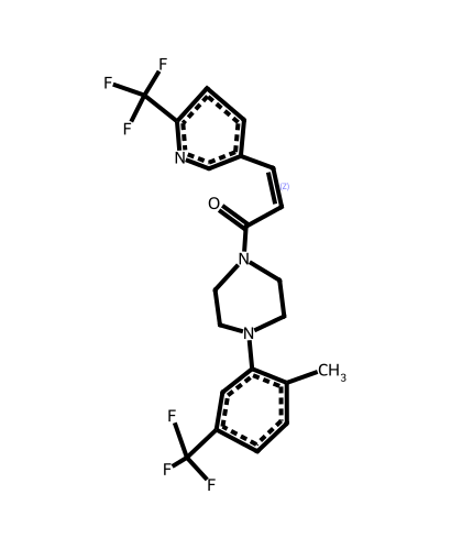 Cc1ccc(C(F)(F)F)cc1N1CCN(C(=O)/C=C\c2ccc(C(F)(F)F)nc2)CC1